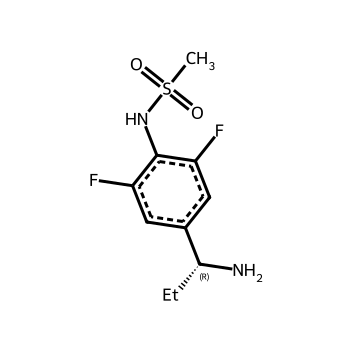 CC[C@@H](N)c1cc(F)c(NS(C)(=O)=O)c(F)c1